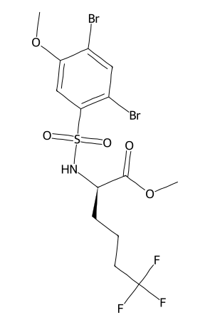 COC(=O)[C@@H](CCCC(F)(F)F)NS(=O)(=O)c1cc(OC)c(Br)cc1Br